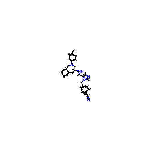 Cc1ccc(N2Cc3ccccc3C[C@H](NCc3cncn3Cc3ccc(C#N)cc3)C2)cc1